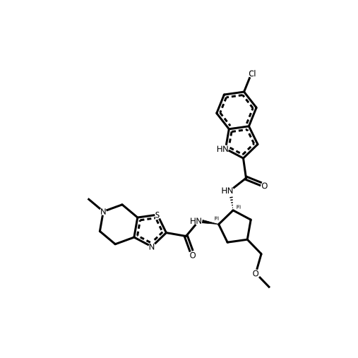 COCC1C[C@@H](NC(=O)c2cc3cc(Cl)ccc3[nH]2)[C@H](NC(=O)c2nc3c(s2)CN(C)CC3)C1